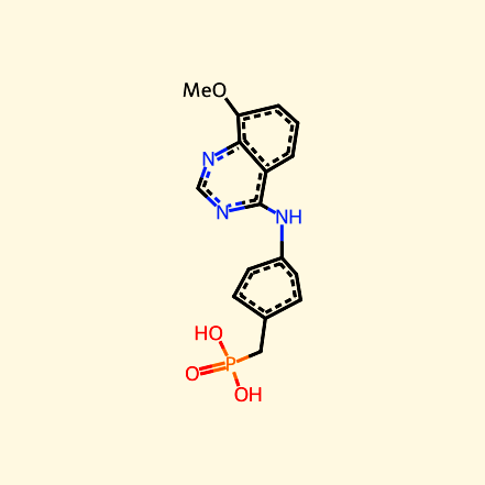 COc1cccc2c(Nc3ccc(CP(=O)(O)O)cc3)ncnc12